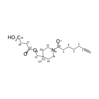 C#CCCCCC(=O)N1CCC(C)(COC(=O)CCC(=O)O)CC1